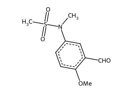 COc1ccc(N(C)S(C)(=O)=O)cc1C=O